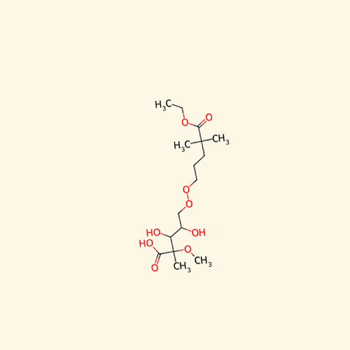 CCOC(=O)C(C)(C)CCCOOCC(O)C(O)C(C)(OC)C(=O)O